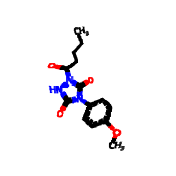 CCCCC(=O)n1[nH]c(=O)n(-c2ccc(OC)cc2)c1=O